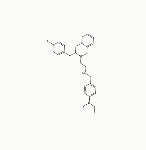 CCN(CC)c1ccc(CNCCN2Cc3ccccc3CC2Cc2ccc(F)cc2)cc1